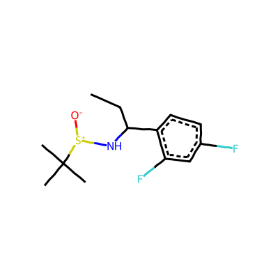 CCC(N[S+]([O-])C(C)(C)C)c1ccc(F)cc1F